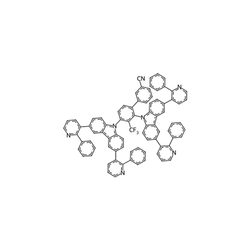 N#Cc1cccc(-c2ccc(-n3c4ccc(-c5cccnc5-c5ccccc5)cc4c4cc(-c5cccnc5-c5ccccc5)ccc43)c(C(F)(F)F)c2-n2c3ccc(-c4cccnc4-c4ccccc4)cc3c3cc(-c4cccnc4-c4ccccc4)ccc32)c1